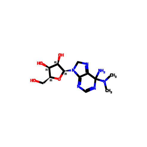 CN(C)C1(N)N=CN=C2C1=NCN2[C@@H]1O[C@H](CO)[C@@H](O)[C@H]1O